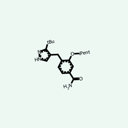 CCCC(C)Oc1cc(C(N)=O)ccc1Cc1c[nH]nc1C(C)(C)C